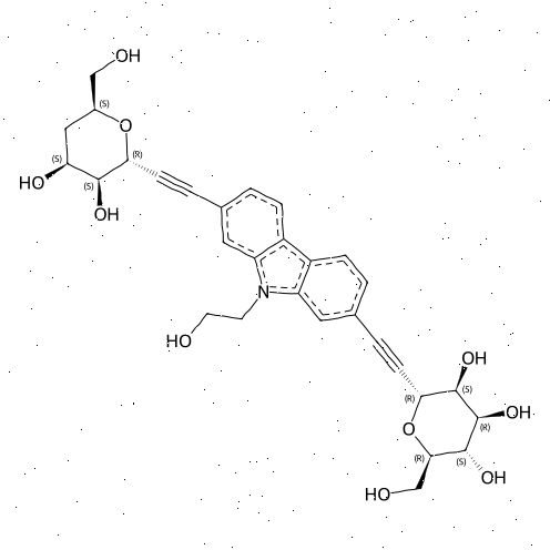 OCCn1c2cc(C#C[C@H]3O[C@H](CO)[C@@H](O)[C@H](O)[C@@H]3O)ccc2c2ccc(C#C[C@H]3O[C@H](CO)C[C@H](O)[C@@H]3O)cc21